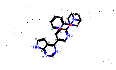 c1ccc(CN2C3CC2CN(c2ccc(-c4ncnc5[nH]ccc45)cn2)C3)nc1